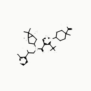 CC1(C(=O)O)CCC(n2ncc(C(=O)N(CC(O)c3ccsc3Cl)C3C[C@@H]4[C@H](C3)C4(C)C)c2C(F)(F)F)CC1